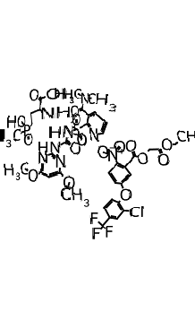 CCOC(=O)COC(=O)c1cc(Oc2ccc(C(F)(F)F)cc2Cl)ccc1[N+](=O)[O-].COc1cc(OC)nc(NC(=O)NS(=O)(=O)c2ncccc2C(=O)N(C)C)n1.CP(=O)(O)CCC(N)C(=O)O